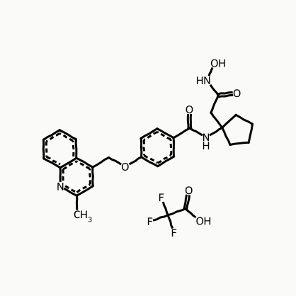 Cc1cc(COc2ccc(C(=O)NC3(CC(=O)NO)CCCC3)cc2)c2ccccc2n1.O=C(O)C(F)(F)F